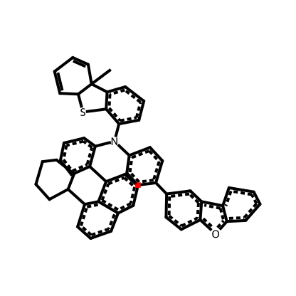 CC12C=CC=CC1Sc1c(N(c3ccc(-c4ccc5oc6ccccc6c5c4)cc3)c3ccccc3-c3cccc4cccc(C5CCCCC5)c34)cccc12